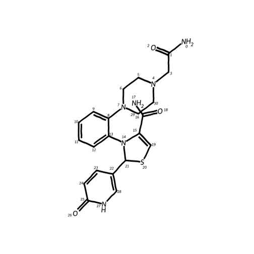 NC(=O)CN1CCN(c2ccccc2N2C(C(N)=O)=CSC2c2ccc(=O)[nH]c2)CC1